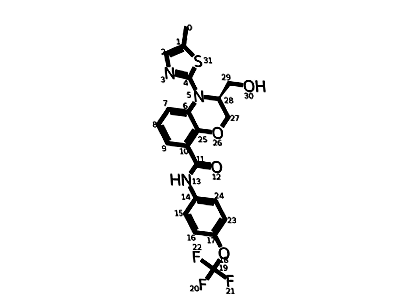 Cc1cnc(N2c3cccc(C(=O)Nc4ccc(OC(F)(F)F)cc4)c3OC[C@@H]2CO)s1